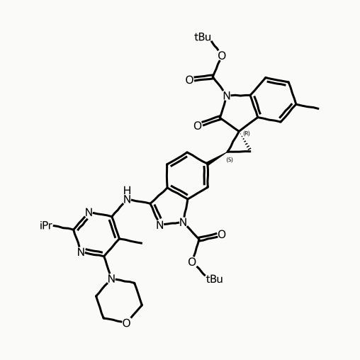 Cc1ccc2c(c1)[C@]1(C[C@H]1c1ccc3c(Nc4nc(C(C)C)nc(N5CCOCC5)c4C)nn(C(=O)OC(C)(C)C)c3c1)C(=O)N2C(=O)OC(C)(C)C